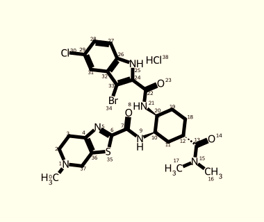 CN1CCc2nc(C(=O)N[C@@H]3C[C@@H](C(=O)N(C)C)CC[C@@H]3NC(=O)c3[nH]c4ccc(Cl)cc4c3Br)sc2C1.Cl